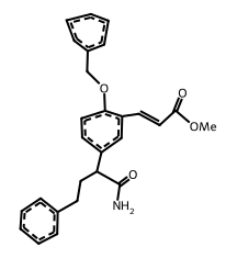 COC(=O)C=Cc1cc(C(CCc2ccccc2)C(N)=O)ccc1OCc1ccccc1